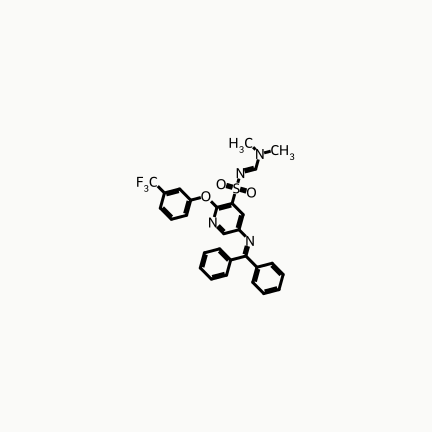 CN(C)/C=N/S(=O)(=O)c1cc(N=C(c2ccccc2)c2ccccc2)cnc1Oc1cccc(C(F)(F)F)c1